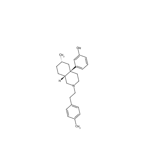 Cc1ccc(CCN2CC[C@@]3(c4cccc(O)c4)C[C@@H](C)CC[C@H]3C2)cc1